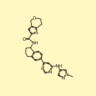 Cn1cc(Nc2cc(-c3ccc4c(c3)CCCC4NC(=O)c3cc4c(s3)CCOC4)ncn2)cn1